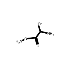 CC(C)C(N)C(=O)ON